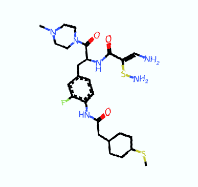 CSC1CCC(CC(=O)Nc2ccc(CC(NC(=O)/C(=C/N)SN)C(=O)N3CCN(C)CC3)cc2F)CC1